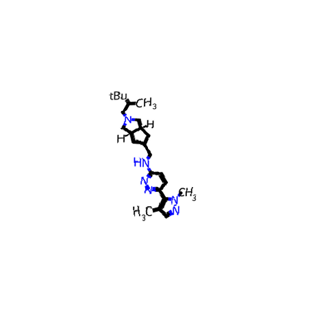 Cc1cnn(C)c1-c1ccc(NCC2C[C@@H]3CN(CC(C)C(C)(C)C)C[C@@H]3C2)nn1